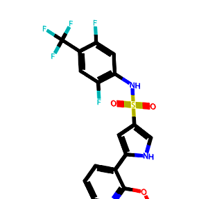 COc1ncccc1-c1cc(S(=O)(=O)Nc2cc(F)c(C(F)(F)F)cc2F)c[nH]1